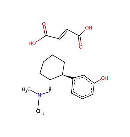 CN(C)C[C@@H]1CCCC[C@H]1c1cccc(O)c1.O=C(O)C=CC(=O)O